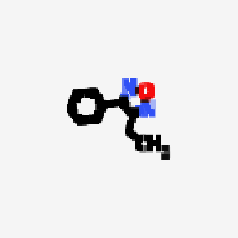 CCc1nonc1-c1ccccc1